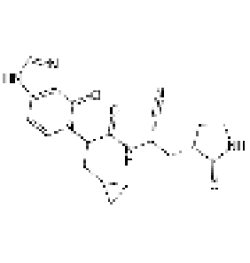 N#C[C@H](C[C@@H]1CCNC1=O)NC(=O)C(CC1CC1)n1ccc2[nH]cnc2c1=O